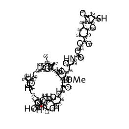 C=C1C[C@@H]2CC[C@]34C[C@@H](O)[C@H](O3)C3O[C@H]5CC[C@H](CC(=O)C[C@@H]6[C@@H](OC)[C@@H](CC(=O)CNC(=O)OCOC(=O)C7CCC(CN8C(=O)CC(S)C8=O)CC7)O[C@H]6C[C@H]6O[C@@H](CC[C@@H]1O2)C[C@@H](C)C6=C)O[C@@H]5[C@H](O4)[C@@H]3I